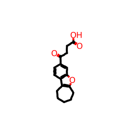 O=C(O)CCC(=O)c1ccc2c3c(oc2c1)CCCCC3